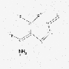 C=C/C=C\C(=C(/N)CC)C(F)F